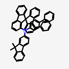 CC1(C)c2ccccc2-c2ccc(N(c3ccc(-c4ccccc4)cc3)c3cccc4c3C3(c5ccccc5-4)c4ccccc4-c4c(-c5ccccc5)cccc43)cc21